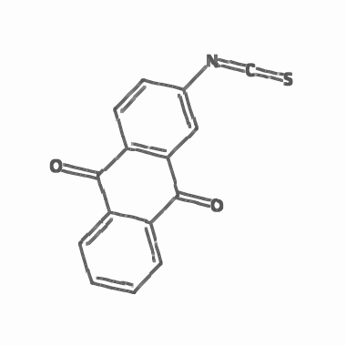 O=C1c2ccccc2C(=O)c2cc(N=C=S)ccc21